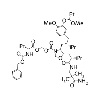 CCC(OC)Oc1cc(C[C@@H](C[C@H]2[C@H](C[C@H](C(=O)NCC(C)(C)C(N)=O)C(C)C)OCN2C(=O)OCOC(=O)[C@@H](NC(=O)OCc2ccccc2)C(C)C)C(C)C)ccc1OC